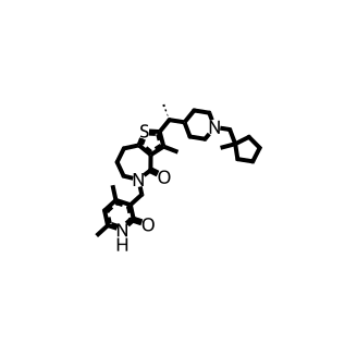 Cc1cc(C)c(CN2CCCc3sc([C@H](C)C4CCN(CC5(C)CCCC5)CC4)c(C)c3C2=O)c(=O)[nH]1